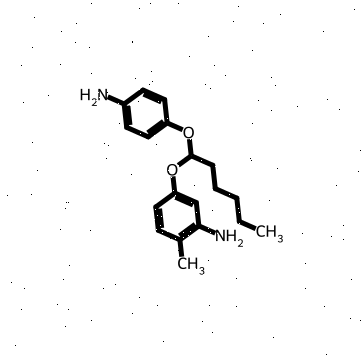 CCCCCC(Oc1ccc(N)cc1)Oc1ccc(C)c(N)c1